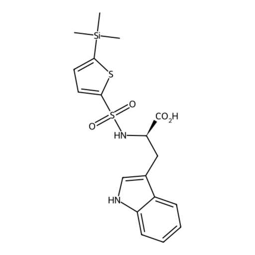 C[Si](C)(C)c1ccc(S(=O)(=O)N[C@H](Cc2c[nH]c3ccccc23)C(=O)O)s1